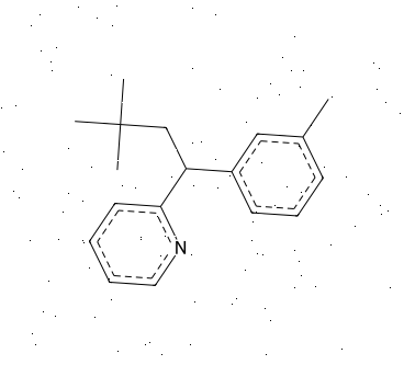 Cc1cccc(C(CC(C)(C)C)c2ccccn2)c1